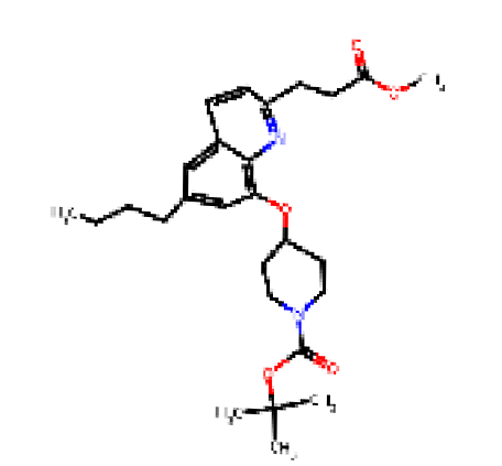 CCCCc1cc(OC2CCN(C(=O)OC(C)(C)C)CC2)c2nc(CCC(=O)OC)ccc2c1